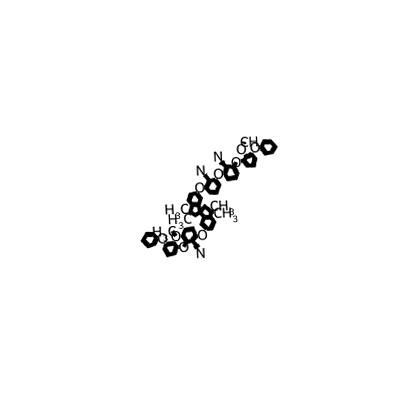 COc1c(Oc2ccccc2)cccc1Oc1cccc(Oc2ccc3c(c2)C2(CC(C)(C)c4ccc(Oc5cccc(Oc6cccc(Oc7cccc(Oc8ccccc8)c7OC)c6C#N)c5C#N)cc42)CC3(C)C)c1C#N